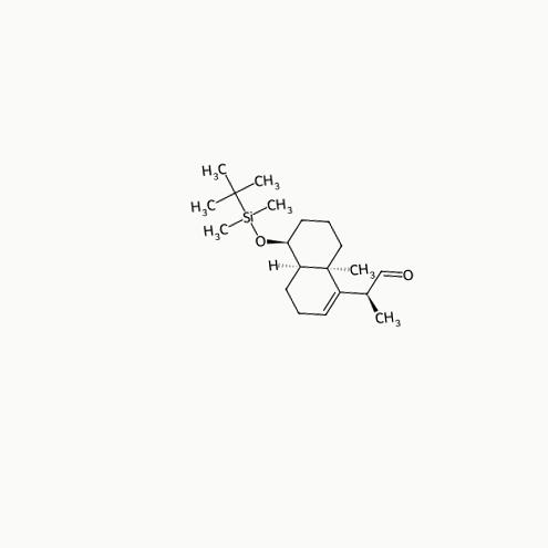 C[C@H](C=O)C1=CCC[C@H]2[C@@H](O[Si](C)(C)C(C)(C)C)CCC[C@@]12C